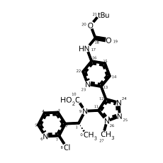 C[C@H](c1cccnc1Cl)N(C(=O)O)c1c(-c2ccc(NC(=O)OC(C)(C)C)cn2)nnn1C